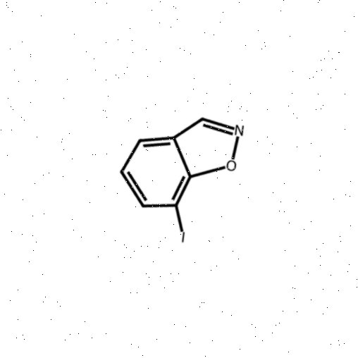 Ic1cccc2cnoc12